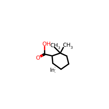 CC1(C)CCCCC1C(=O)O.[In]